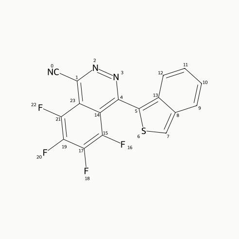 N#Cc1nnc(-c2scc3ccccc23)c2c(F)c(F)c(F)c(F)c12